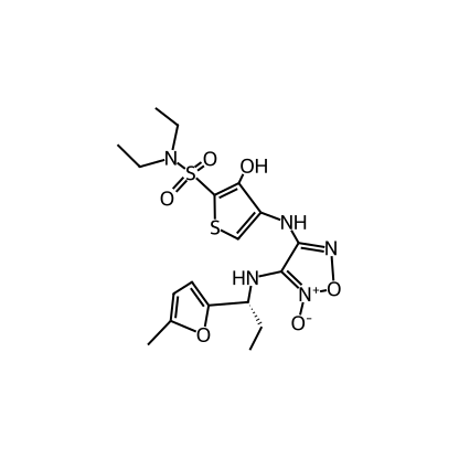 CC[C@@H](Nc1c(Nc2csc(S(=O)(=O)N(CC)CC)c2O)no[n+]1[O-])c1ccc(C)o1